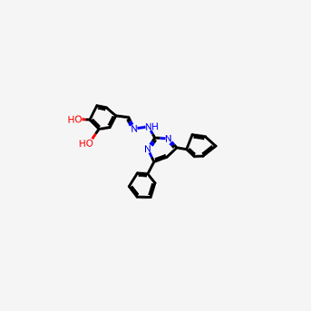 Oc1ccc(C=NNc2nc(-c3ccccc3)cc(-c3ccccc3)n2)cc1O